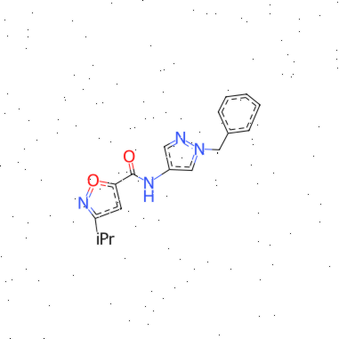 CC(C)c1cc(C(=O)Nc2cnn(Cc3ccccc3)c2)on1